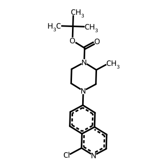 CC1CN(c2ccc3c(Cl)nccc3c2)CCN1C(=O)OC(C)(C)C